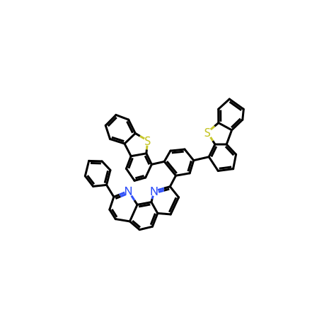 c1ccc(-c2ccc3ccc4ccc(-c5cc(-c6cccc7c6sc6ccccc67)ccc5-c5cccc6c5sc5ccccc56)nc4c3n2)cc1